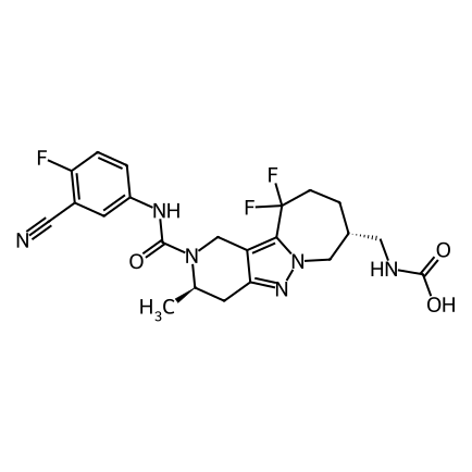 C[C@@H]1Cc2nn3c(c2CN1C(=O)Nc1ccc(F)c(C#N)c1)C(F)(F)CC[C@H](CNC(=O)O)C3